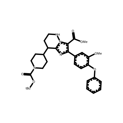 COC(=O)c1c(-c2ccc(Oc3ccccc3)c(OC)c2)nc2n1NCCC2C1CCN(C(=O)OC(C)(C)C)CC1